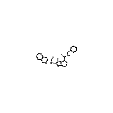 O=C(Nc1nc2cccc(C(=O)NCc3ccccc3)c2[nH]1)c1cc2ccccc2cn1